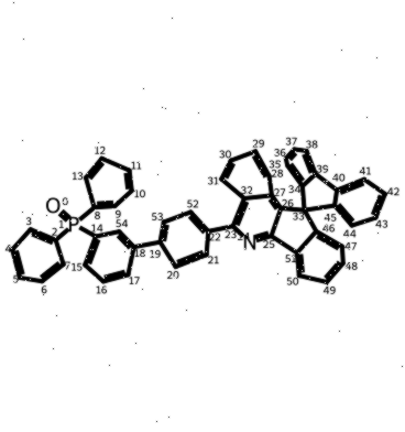 O=P(c1ccccc1)(c1ccccc1)c1cccc(-c2ccc(-c3nc4c(c5ccccc35)C3(c5ccccc5-c5ccccc53)c3ccccc3-4)cc2)c1